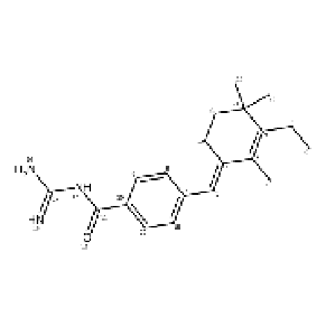 CCC1=C(C)/C(=C/c2ccc(C(=O)NC(=N)N)cc2)CCC1(C)C